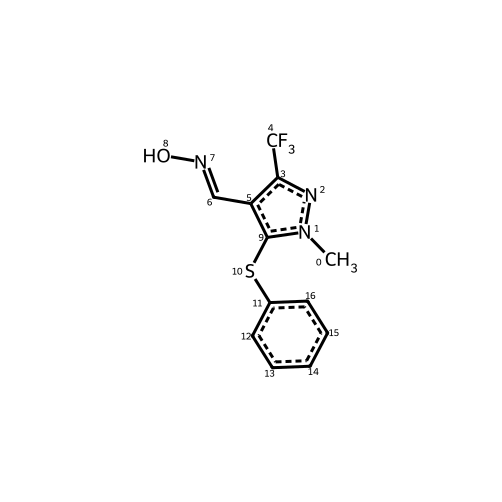 Cn1nc(C(F)(F)F)c(C=NO)c1Sc1ccccc1